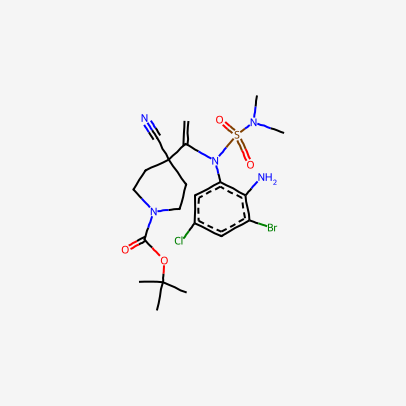 C=C(N(c1cc(Cl)cc(Br)c1N)S(=O)(=O)N(C)C)C1(C#N)CCN(C(=O)OC(C)(C)C)CC1